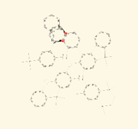 Cc1cc2c(cc1N1c3cc4c(cc3B3c5c1cc1c(c5-c5ccc6c(oc7ccccc76)c5N3c3ccc(C(C)(C)C)cc3-c3ccccc3)-c3ccccc3C1(C)C)Sc1ccccc1C4(C)C)C(C)(C)CCC2(C)C